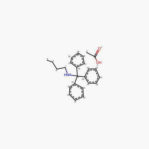 CC(=O)O.CCCCNC(c1ccccc1)(c1ccccc1)c1ccccc1